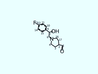 O=CC1CCN(CC(O)c2ccc(F)cc2)CC1